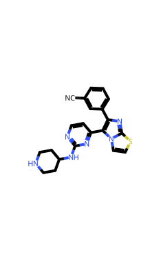 N#Cc1cccc(-c2nc3sccn3c2-c2ccnc(NC3CCNCC3)n2)c1